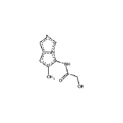 Cc1sc2cncn2c1NC(=O)CO